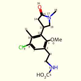 COc1c(CCNC(=O)O)cc(Cl)c(C)c1C1CC(=O)N(C)C1